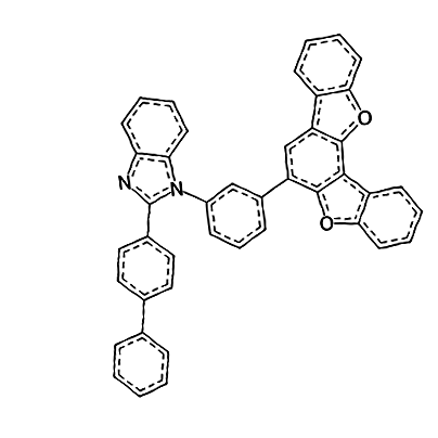 c1ccc(-c2ccc(-c3nc4ccccc4n3-c3cccc(-c4cc5c6ccccc6oc5c5c4oc4ccccc45)c3)cc2)cc1